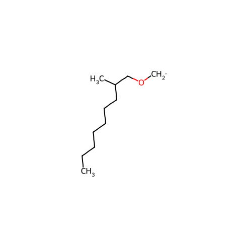 [CH2]OCC(C)CCCCCCC